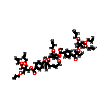 C=CCOCC(COCC=C)(COCC=C)COC(=O)c1ccc(C(=O)C2(CC)C/C=C/COCC(COCC=C)(COC(=O)c3ccc(C(=O)C(C)(CC)OCC(COCC=C)(COCC=C)COCC=C)cc3)CO2)cc1